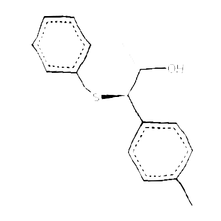 Cc1ccc([C@@H](Sc2ccccc2)[C@H](C)O)cc1